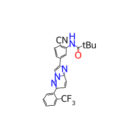 CC(C)(C)C(=O)Nc1cc(-c2cn3nc(-c4ccccc4C(F)(F)F)ccc3n2)ccc1C#N